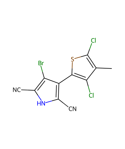 Cc1c(Cl)sc(-c2c(C#N)[nH]c(C#N)c2Br)c1Cl